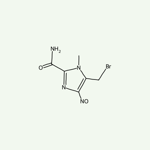 Cn1c(C(N)=O)nc(N=O)c1CBr